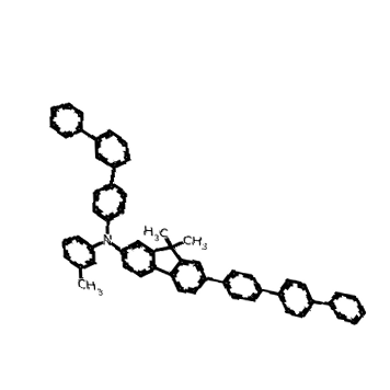 Cc1cccc(N(c2ccc(-c3cccc(-c4ccccc4)c3)cc2)c2ccc3c(c2)C(C)(C)c2cc(-c4ccc(-c5ccc(-c6ccccc6)cc5)cc4)ccc2-3)c1